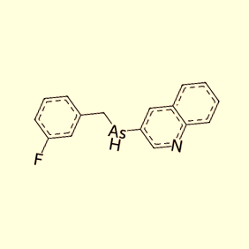 Fc1cccc(C[AsH]c2cnc3ccccc3c2)c1